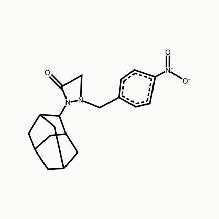 O=C1CN(Cc2ccc([N+](=O)[O-])cc2)N1C1C2CC3CC(C2)CC1C3